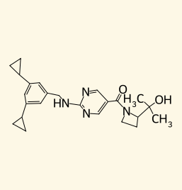 CC(C)(O)C1CCN1C(=O)c1cnc(NCc2cc(C3CC3)cc(C3CC3)c2)nc1